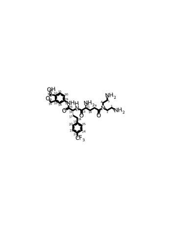 NCCN(CCN)C(=O)CC[C@H](N)C(=O)N[C@H](CCc1ccc(C(F)(F)F)cc1)C(=O)Nc1ccc2c(c1)COB2O